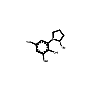 CC(C)(C)c1cc(N2CCC[C@H]2C(C)(C)C)c(O)c(C(C)(C)C)c1